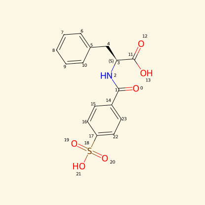 O=C(N[C@@H](Cc1ccccc1)C(=O)O)c1ccc(S(=O)(=O)O)cc1